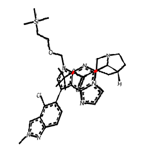 Cn1cc2c(Cl)c(-c3cn(COCC[Si](C)(C)C)c4nc(C5[C@@H]6CCN5C[C@H](C(=O)OC(C)(C)C)C6)n5ccnc5c34)ccc2n1